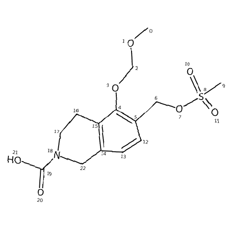 COCOc1c(COS(C)(=O)=O)ccc2c1CCN(C(=O)O)C2